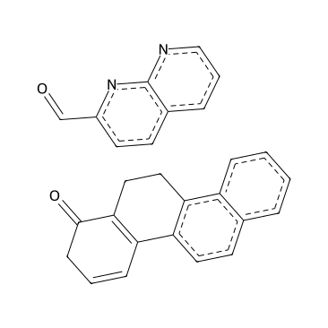 O=C1CC=CC2=C1CCc1c2ccc2ccccc12.O=Cc1ccc2cccnc2n1